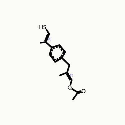 CC(=O)O/C=C(\C)Cc1ccc(/C(C)=C/S)cc1